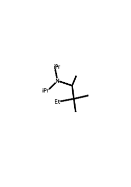 CCC(C)(C)C(C)N(C(C)C)C(C)C